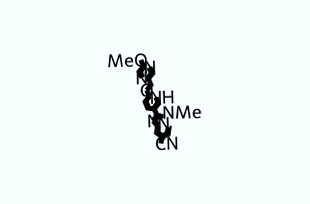 CNc1c(C2=CNC(OCc3cnc(OC)cn3)C=C2)nc2cc(C#N)ccn12